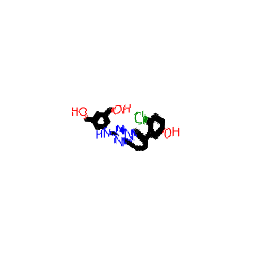 OCc1cc(CO)cc(Nc2nc3ccc(-c4cc(O)ccc4Cl)cn3n2)c1